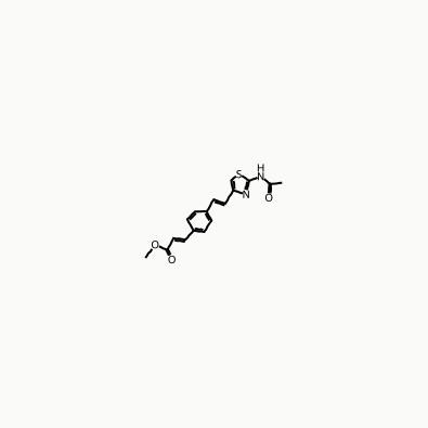 COC(=O)/C=C/c1ccc(/C=C/c2csc(NC(C)=O)n2)cc1